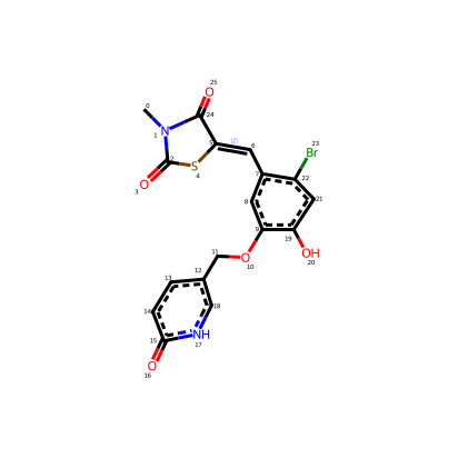 CN1C(=O)S/C(=C\c2cc(OCc3ccc(=O)[nH]c3)c(O)cc2Br)C1=O